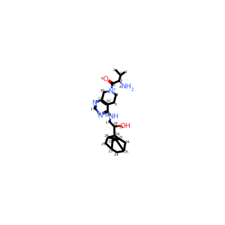 CC(C)[C@@H](N)C(=O)N1CCc2c(ncnc2NCC(O)C2C3CC4CC(C3)CC2C4)C1